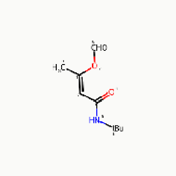 CC(=CC(=O)NC(C)(C)C)OC=O